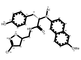 COc1ccc2cc(N(C(C)=O)[C@@H](Cc3ccc(O)cc3)C(=O)NCC3CC(Cl)=NO3)ccc2c1